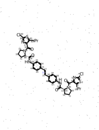 CC(C)c1sc(Cl)nc1C(=O)N1CCC[C@H]1C(=O)Nc1ccc(/C=C/c2ccc(NC(=O)[C@@H]3CCCN3C(=O)c3nc(Cl)sc3C(C)C)cc2)cc1